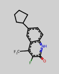 O=c1[nH]c2ccc(C3CCCC3)cc2c(C(F)(F)F)c1F